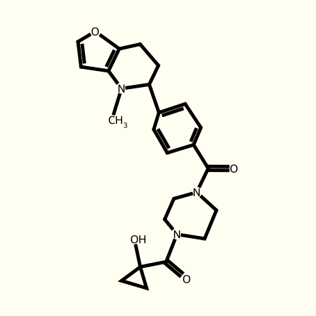 CN1c2ccoc2CCC1c1ccc(C(=O)N2CCN(C(=O)C3(O)CC3)CC2)cc1